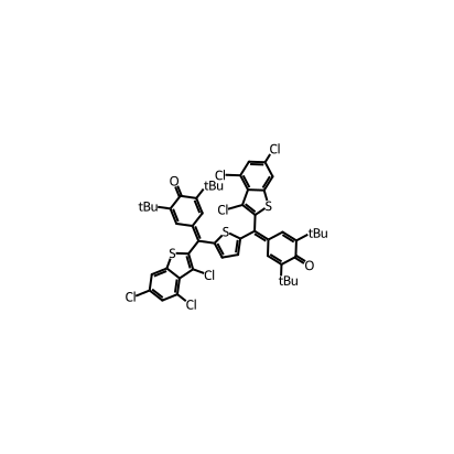 CC(C)(C)C1=CC(=C(c2ccc(C(=C3C=C(C(C)(C)C)C(=O)C(C(C)(C)C)=C3)c3sc4cc(Cl)cc(Cl)c4c3Cl)s2)c2sc3cc(Cl)cc(Cl)c3c2Cl)C=C(C(C)(C)C)C1=O